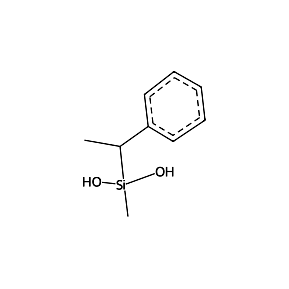 CC(c1ccccc1)[Si](C)(O)O